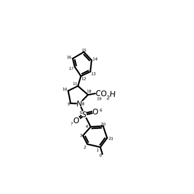 Cc1ccc(S(=O)(=O)N2CCC(c3ccccc3)C2C(=O)O)cc1